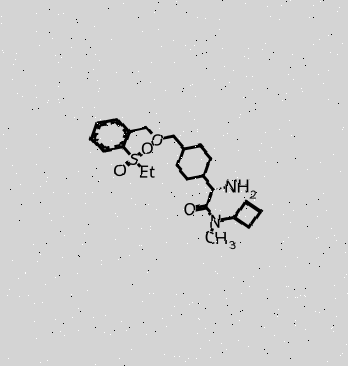 CCS(=O)(=O)c1ccccc1COCC1CCC([C@H](N)C(=O)N(C)C2CCC2)CC1